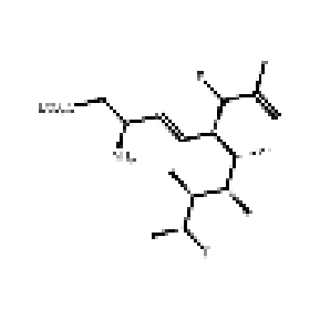 C=C(C)C(F)[C@H](/C=C/[C@@H](N)CC(=O)OCC)[C@H](C)[C@@H](C)[C@H](C)[C@H](C)F